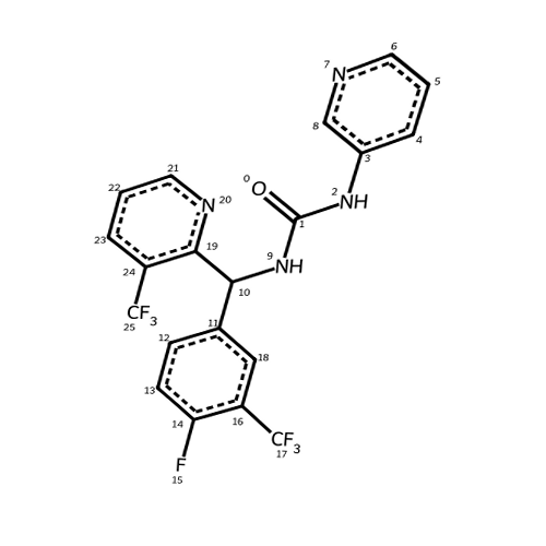 O=C(Nc1cccnc1)NC(c1ccc(F)c(C(F)(F)F)c1)c1ncccc1C(F)(F)F